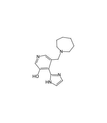 Oc1cncc(CN2CCCCCC2)c1-c1ncc[nH]1